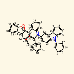 c1ccc(-n2c3ccccc3c3cc(N(c4ccccc4-c4cccc5c4oc4ccccc45)c4cccc5ccccc45)ccc32)cc1